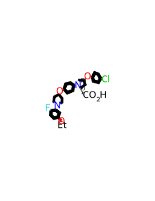 CCOc1ccc(F)c(N2CCC(Oc3ccc(N4C[C@H](Oc5ccc(Cl)cc5)C[C@@H]4CC(=O)O)cc3)CC2)c1